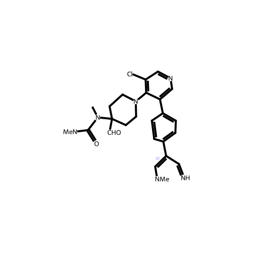 CN/C=C(\C=N)c1ccc(-c2cncc(Cl)c2N2CCC(C=O)(N(C)C(=O)NC)CC2)cc1